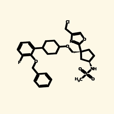 CS(=O)(=O)N[C@H]1CC[C@](COC2CCC(c3cccc(F)c3OCc3ccccc3)CC2)(c2nc(CCl)co2)C1